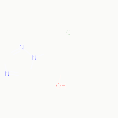 OC(Cn1cncn1)c1ccccc1Cl